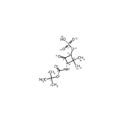 CC(C)(C)OC(=O)N[C@@H]1C(=O)N(OS(=O)(=O)O)C1(C)C